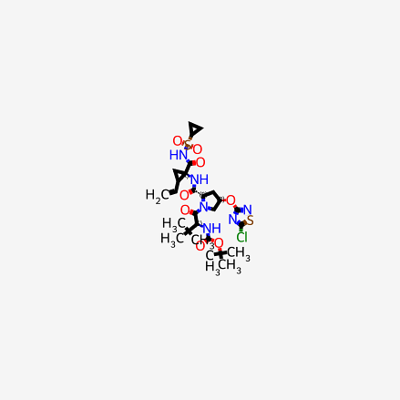 C=CC1C[C@]1(NC(=O)[C@@H]1C[C@@H](Oc2nsc(Cl)n2)CN1C(=O)[C@@H](NC(=O)OC(C)(C)C)C(C)(C)C)C(=O)NS(=O)(=O)C1CC1